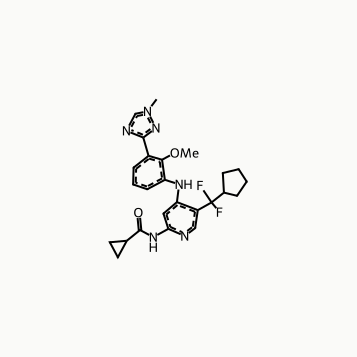 COc1c(Nc2cc(NC(=O)C3CC3)ncc2C(F)(F)C2CCCC2)cccc1-c1ncn(C)n1